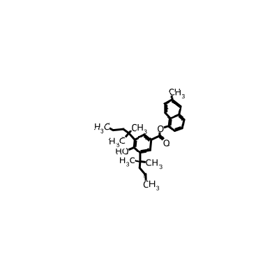 CCCC(C)(C)c1cc(C(=O)Oc2cccc3cc(C)ccc23)cc(C(C)(C)CCC)c1O